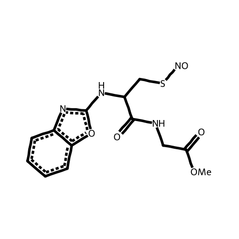 COC(=O)CNC(=O)C(CSN=O)Nc1nc2ccccc2o1